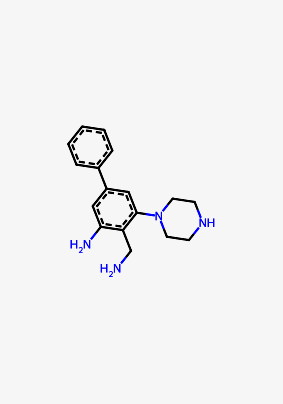 NCc1c(N)cc(-c2ccccc2)cc1N1CCNCC1